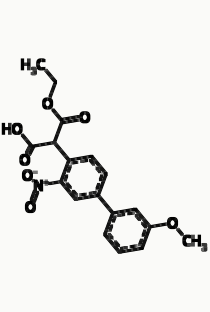 CCOC(=O)C(C(=O)O)c1ccc(-c2cccc(OC)c2)cc1[N+](=O)[O-]